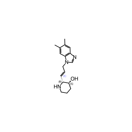 Cc1cc2ncn(C/C=C/[C@H]3NCCC[C@@H]3O)c2cc1C